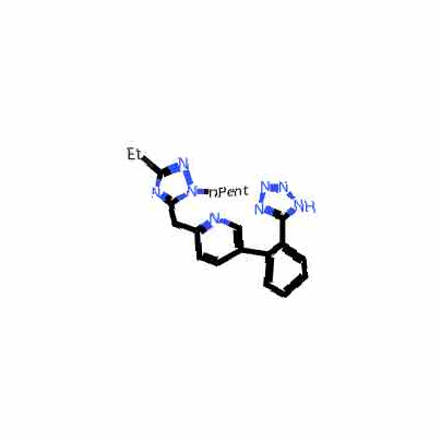 CCCCCn1nc(CC)nc1Cc1ccc(-c2ccccc2-c2nnn[nH]2)cn1